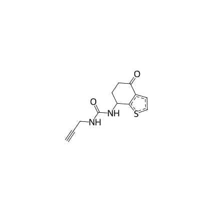 C#CCNC(=O)NC1CCC(=O)c2ccsc21